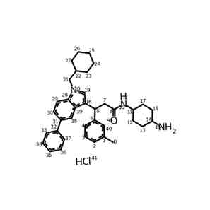 Cc1cccc(C(CC(=O)NC2CCC(N)CC2)c2cn(CC3CCCCC3)c3ccc(-c4ccccc4)cc23)c1.Cl